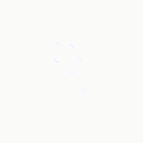 C[S+]([O-])c1nc(NCCN2CCCCC2)c2nc(Cl)c(Cl)nc2n1